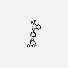 FC(F)(F)c1ccccc1Oc1ccc(N(CC2CO2)CC2CO2)cc1